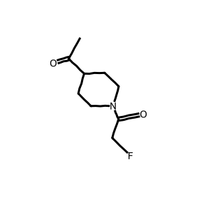 CC(=O)C1CCN(C(=O)CF)CC1